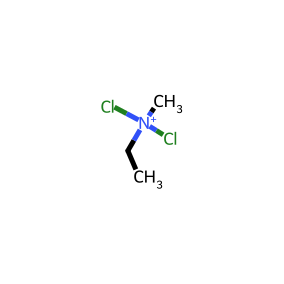 CC[N+](C)(Cl)Cl